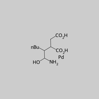 CCCCC(C(N)O)C(CC(=O)O)C(=O)O.[Pd]